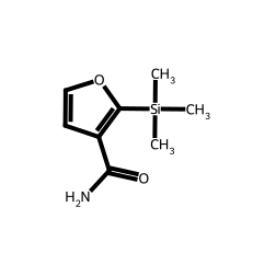 C[Si](C)(C)c1occc1C(N)=O